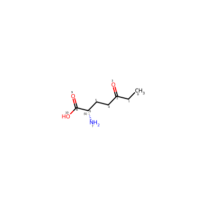 CCC(=O)CC[C@H](N)C(=O)O